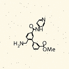 COC(=O)c1cccc(-c2cc(C(=O)Nc3ccncc3)ccc2CN)c1